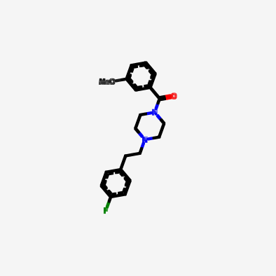 COc1cccc(C(=O)N2CCN(CCc3ccc(F)cc3)CC2)c1